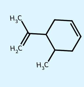 C=C(C)C1CC=CCC1C